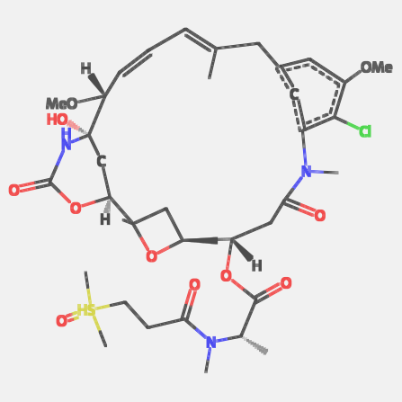 COc1cc2cc(c1Cl)N(C)C(=O)C[C@H](OC(=O)[C@H](C)N(C)C(=O)CC[SH](C)(C)=O)[C@@]1(C)CC(C)(O1)[C@@H]1C[C@@](O)(NC(=O)O1)[C@H](OC)/C=C/C=C(\C)C2